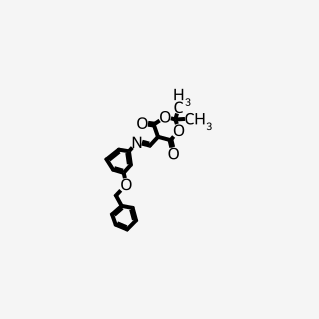 CC1(C)OC(=O)C(C=Nc2cccc(OCc3ccccc3)c2)C(=O)O1